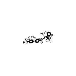 COc1cc(-c2ccc(C(=O)NCCc3c(C)[nH]c4c(F)ccc(C)c34)cc2)ccc1C(=O)O